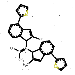 CC1=Cc2c(-c3cccs3)cccc2[CH]1[Zr]([CH]1C(C(C)C)=Cc2c(-c3cccs3)cccc21)=[Si](C)C